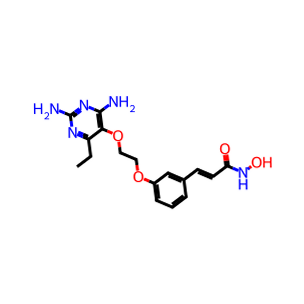 CCc1nc(N)nc(N)c1OCCOc1cccc(C=CC(=O)NO)c1